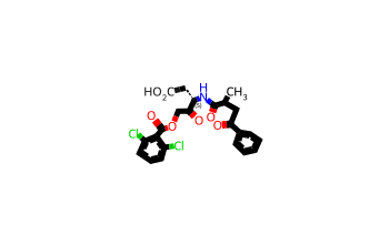 CC(CC(=O)c1ccccc1)C(=O)N[C@@H](CC(=O)O)C(=O)COC(=O)c1c(Cl)cccc1Cl